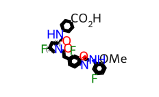 COc1ccc(F)cc1Nc1nc2ccc(CC(=O)N3C[C@@H](F)C[C@H]3C(=O)NC3CCC(C(=O)O)CC3)c(F)c2o1